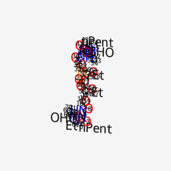 CCCCC[C@@H](C(=O)NCNC(=O)c1ccc(-c2cc(OCC)cc(O[PH](=O)Oc3cc(OCC)cc(-c4ccc(C(=O)NCNC(=O)[C@H](CCCCC)[C@@H](CC)N(C=O)OCc5ccccc5)o4)c3)c2)o1)[C@@H](CC)N(C=O)OCc1ccccc1